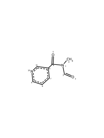 CN([C]=O)C(=O)c1cccnc1